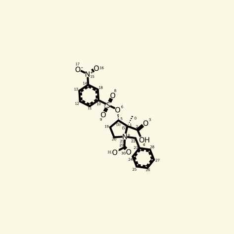 C[C@@]1(C(=O)O)[C@@H](OS(=O)(=O)c2cccc([N+](=O)[O-])c2)CC[N+]1(Cc1ccccc1)C(=O)[O-]